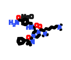 COc1cc(CNC(=O)[C@@H]2CN(C3=NC(C)(C)[C@H](c4ccccc4)O3)CCN2C(=O)[C@@H](CCCCCN(C)C)N(C)C)ccc1C(N)=O